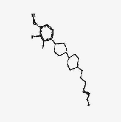 CCOc1ccc(C2CCC(C3CCC(CCC/C=C/CF)CC3)CC2)c(F)c1F